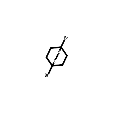 BrC12CCC(Br)(CC1)CC2